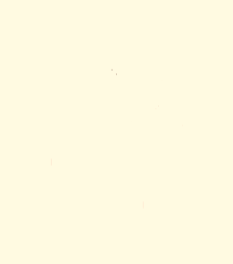 CC(CN(C)C)C(=O)O.Cc1c(Cl)cccc1Cl